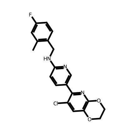 Cc1cc(F)ccc1CNc1ccc(-c2nc3c(cc2Cl)OCCO3)cn1